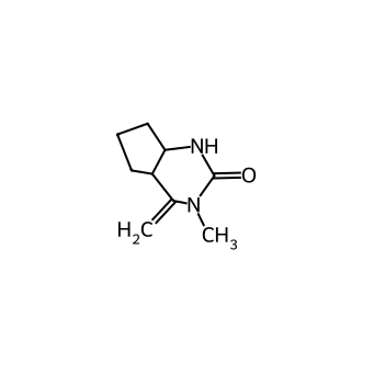 C=C1C2CCCC2NC(=O)N1C